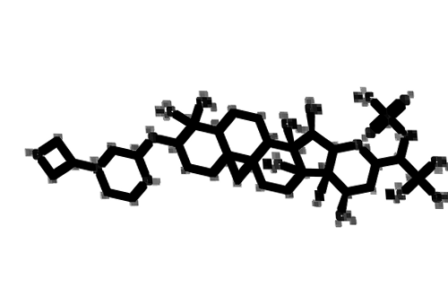 C[C@@H]1CC(C(NS(C)(=O)=O)C(C)(C)O)OC2[C@H]1C1(C)CCC34CC35CCC(OC3CN(C6COC6)CCO3)C(C)(C)C5CCC4[C@]1(C)[C@H]2O